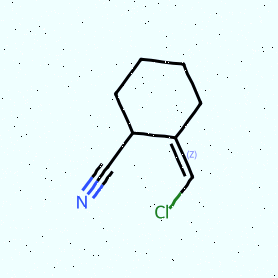 N#CC1CCCC/C1=C/Cl